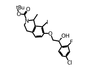 CC1c2c(ccc(OC[C@@H](O)c3ccc(Cl)cc3F)c2I)CCN1C(=O)OC(C)(C)C